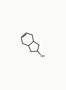 OC1CC2CC=CCC2C1